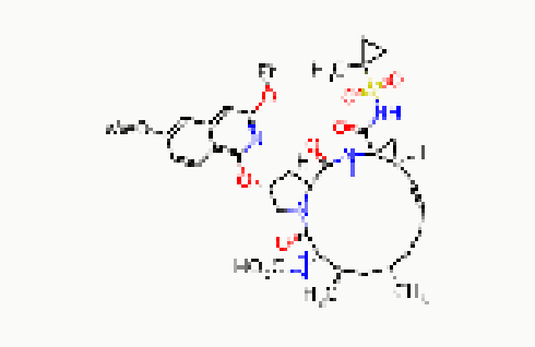 CCOc1cc2cc(OC)ccc2c(O[C@@H]2C[C@H]3C(=O)N[C@]4(C(=O)NS(=O)(=O)C5(C)CC5)C[C@H]4/C=C\CC[C@H](C)C[C@@H](C)[C@H](NC(=O)O)C(=O)N3C2)n1